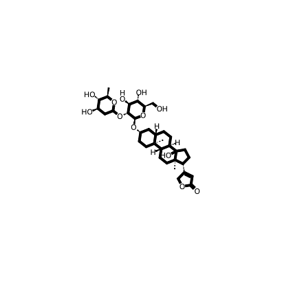 C[C@H]1OC(O[C@H]2[C@H](O[C@H]3CC[C@@]4(C)[C@@H](CC[C@@H]5[C@@H]4CC[C@]4(C)[C@@H](C6=CC(=O)OC6)CCC54O)C3)O[C@H](CO)[C@@H](O)[C@@H]2O)C[C@@H](O)[C@@H]1O